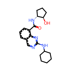 O=C(N[C@@H]1CCC[C@H]1O)c1cccc2cnc(NC3CCCCC3)nc12